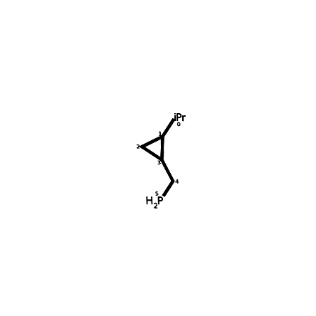 CC(C)C1CC1CP